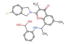 Cc1cc(C(C)Nc2ccccc2C(O)O)c2oc(N3Cc4ccc(F)cc4C3)c(C)c(=O)c2c1